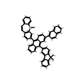 CN1c2ccccc2C=Cc2ccc(-c3c4ccccc4c(-c4ccc5c(c4)-c4ccccc4C5(C)C)c4cc(-c5ccc6ccccc6c5)ccc34)cc21